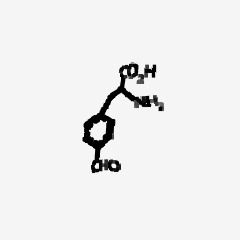 NC(Cc1ccc(C=O)cc1)C(=O)O